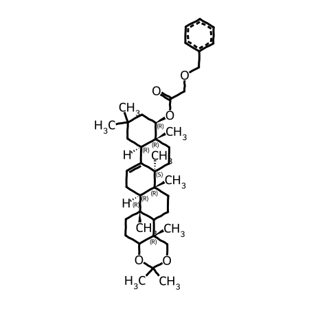 CC1(C)C[C@@H]2C3=CC[C@@H]4[C@@]5(C)CCC6OC(C)(C)OC[C@@]6(C)C5CC[C@@]4(C)[C@]3(C)CC[C@@]2(C)[C@H](OC(=O)COCc2ccccc2)C1